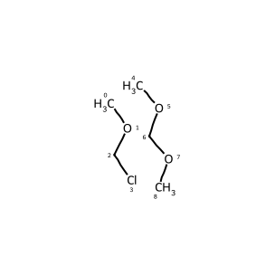 COCCl.COCOC